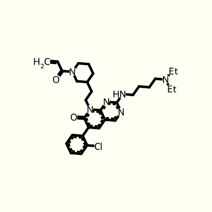 C=CC(=O)N1CCCC(CCn2c(=O)c(-c3ccccc3Cl)cc3cnc(NCCCCN(CC)CC)nc32)C1